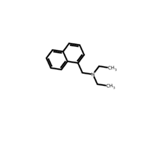 CCN([CH]c1cccc2ccccc12)CC